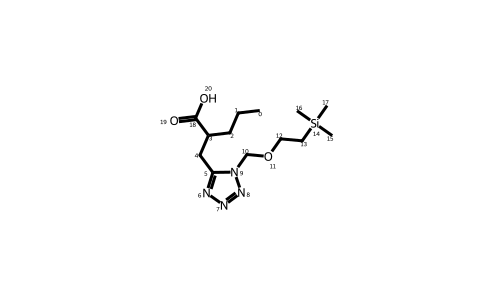 CCCC(Cc1nnnn1COCC[Si](C)(C)C)C(=O)O